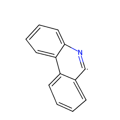 [c]1nc2ccccc2c2ccccc12